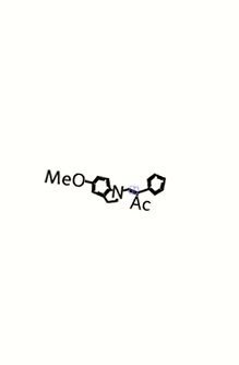 COc1ccc2c(c1)CCN2/C=C(\C(C)=O)c1ccccc1